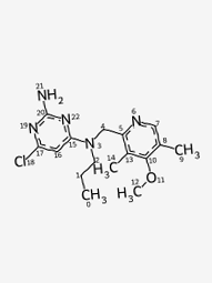 CCCN(Cc1ncc(C)c(OC)c1C)c1cc(Cl)nc(N)n1